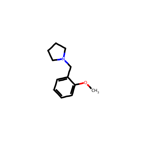 COc1cc[c]cc1CN1CCCC1